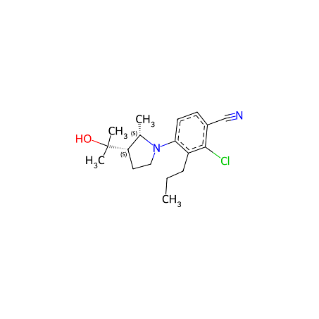 CCCc1c(N2CC[C@H](C(C)(C)O)[C@@H]2C)ccc(C#N)c1Cl